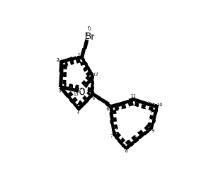 Brc1cc2cc(-c3ccccc3)c1o2